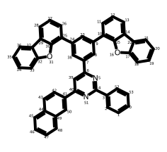 c1ccc(-c2nc(-c3cc(-c4cccc5c4oc4ccccc45)cc(-c4cccc5c4oc4ccccc45)c3)cc(-c3ccc4ccccc4c3)n2)cc1